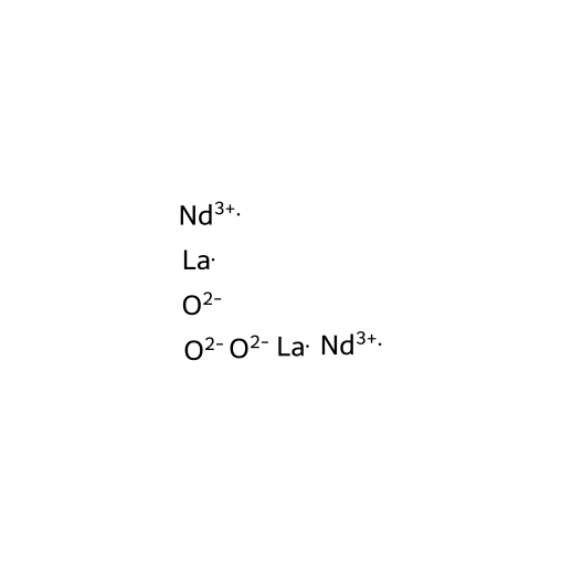 [La].[La].[Nd+3].[Nd+3].[O-2].[O-2].[O-2]